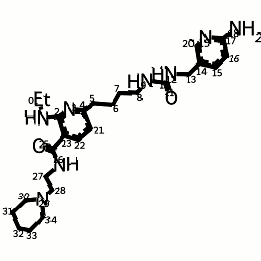 CCNc1nc(CCCCNC(=O)NCc2ccc(N)nc2)ccc1C(=O)NCCN1CCCCC1